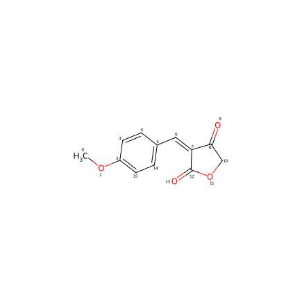 COc1ccc(C=C2C(=O)COC2=O)cc1